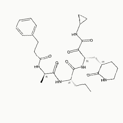 CCC[C@H](NC(=O)[C@@H](C)NC(=O)CCc1ccccc1)C(=O)N[C@@H](C[C@@H]1CCCNC1=O)C(=O)C(=O)NC1CC1